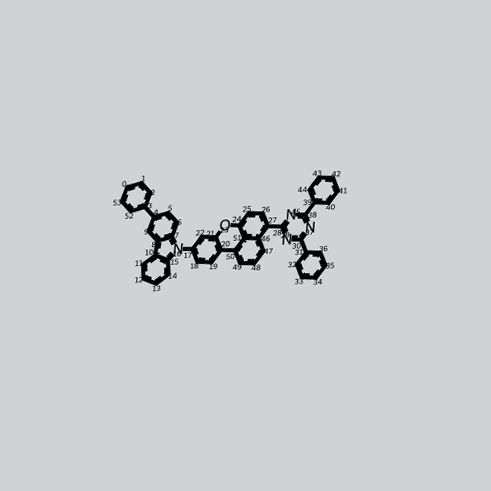 c1ccc(-c2ccc3c(c2)c2ccccc2n3-c2ccc3c(c2)Oc2ccc(-c4nc(-c5ccccc5)nc(-c5ccccc5)n4)c4cccc-3c24)cc1